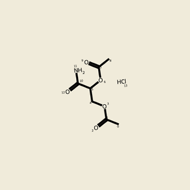 CC(=O)OCC(OC(C)=O)C(N)=O.Cl